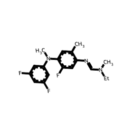 CCN(C)C=Nc1cc(F)c(N(C)c2cc(F)cc(F)c2)cc1C